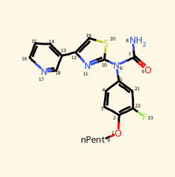 CCCCCOc1ccc(N(C(N)=O)c2nc(-c3cccnc3)cs2)cc1F